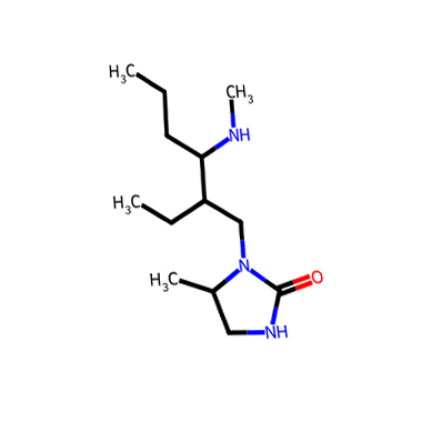 CCCC(NC)C(CC)CN1C(=O)NCC1C